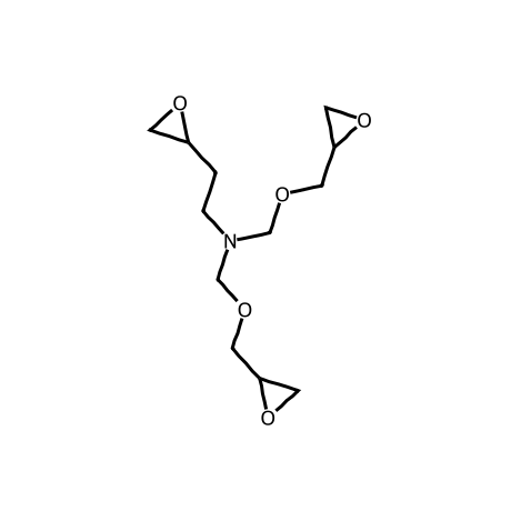 C(CN(COCC1CO1)COCC1CO1)C1CO1